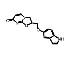 O=c1ccn2c(n1)OC(COc1ccc3[nH]ccc3c1)C2